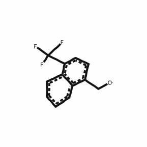 [O]Cc1ccc(C(F)(F)F)c2ccccc12